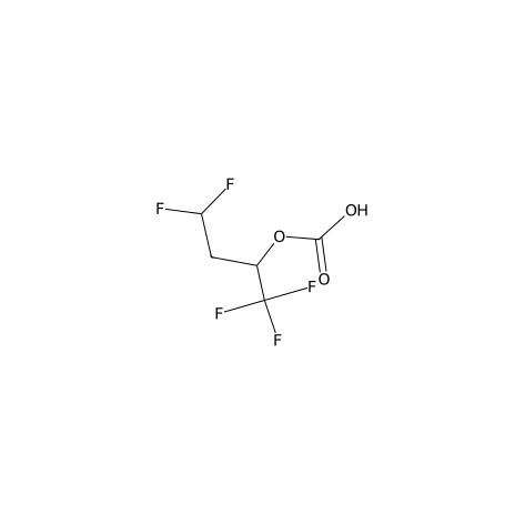 O=C(O)OC(CC(F)F)C(F)(F)F